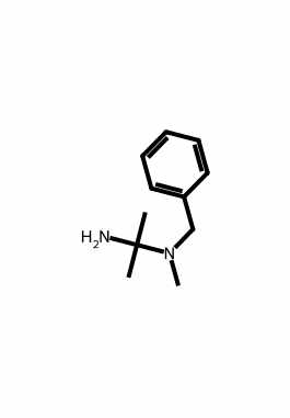 CN(Cc1ccccc1)C(C)(C)N